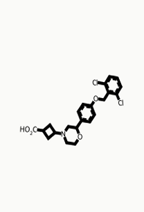 O=C(O)C1CC(N2CCOC(c3ccc(OCc4c(Cl)cccc4Cl)cc3)C2)C1